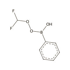 OB(OOC(F)F)c1ccccc1